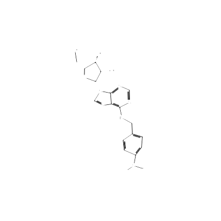 CCN(CC)c1ccc(CNc2ncnc3c2ncn3[C@@H]2O[C@H](CO)[C@@H](O)[C@@H]2O)cc1